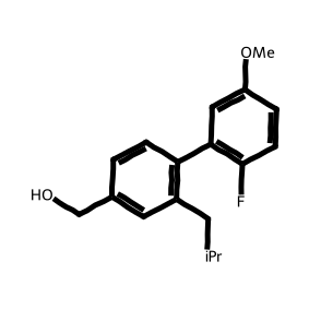 COc1ccc(F)c(-c2ccc(CO)cc2CC(C)C)c1